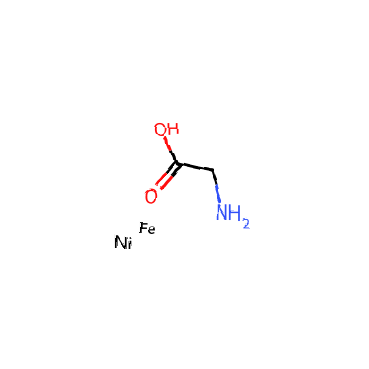 NCC(=O)O.[Fe].[Ni]